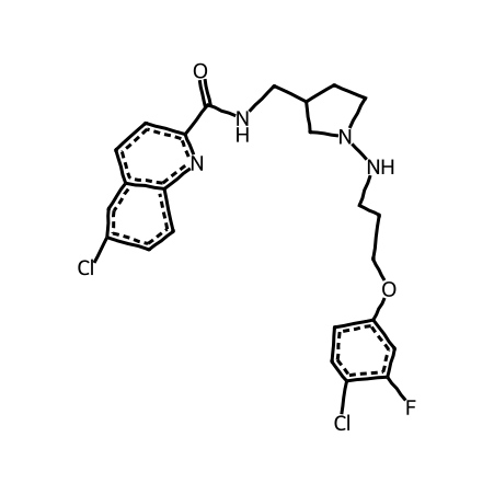 O=C(NCC1CCN(NCCCOc2ccc(Cl)c(F)c2)C1)c1ccc2cc(Cl)ccc2n1